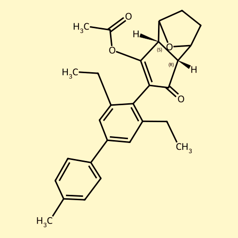 CCc1cc(-c2ccc(C)cc2)cc(CC)c1C1=C(OC(C)=O)[C@@H]2C3CCC(O3)[C@@H]2C1=O